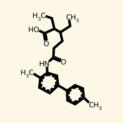 CCC(CCC(=O)Nc1cc(-c2ccc(C)cc2)ccc1C)C(CC)C(=O)O